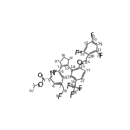 CCOC(=O)c1cc(CF)cc(C2=C(c3cc(C(F)(F)F)ccc3OCc3c(F)cc(F)cc3F)CCC2)n1